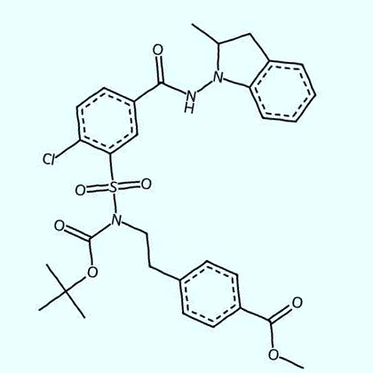 COC(=O)c1ccc(CCN(C(=O)OC(C)(C)C)S(=O)(=O)c2cc(C(=O)NN3c4ccccc4CC3C)ccc2Cl)cc1